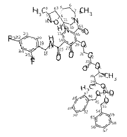 CC1=NO[C@@]2(CC[C@H](C)N3C[C@H]2n2cc(C(=O)NCc4ccc(F)cc4F)c(=O)c(OCOC(=O)O[C@@H](C)C[C@H](C)OP(=O)(OCc4ccccc4)OCc4ccccc4)c2C3=O)C1